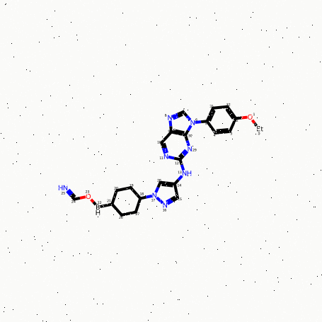 CCOc1ccc(-n2cnc3cnc(Nc4cnn(C5CCC(BOC=N)CC5)c4)nc32)cc1